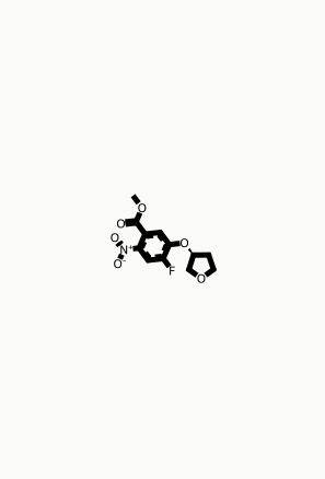 COC(=O)c1cc(O[C@@H]2CCOC2)c(F)cc1[N+](=O)[O-]